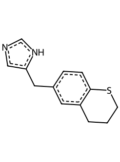 c1ncc(Cc2ccc3c(c2)CCCS3)[nH]1